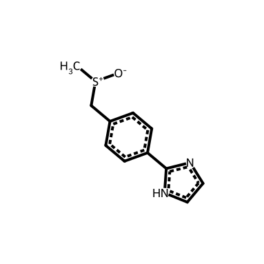 C[S+]([O-])Cc1ccc(-c2ncc[nH]2)cc1